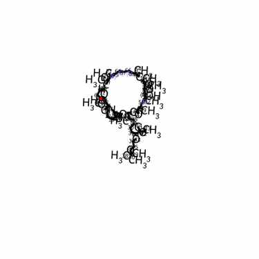 CO[C@H]1C[C@H]2CC[C@H](C)[C@](O)(O2)C(=O)C(=O)N2CCCC[C@@H]2C(=O)OC([C@@H](C)C[C@@H]2CC[C@@H](OCCOC(C)(C)C)[C@H](OC)C2)CC(=O)[C@H](C)/C=C(\C)[C@@H](O)[C@@H](OC)C(=O)[C@@H](C)C[C@@H](C)/C=C/C=C/C=C/1C